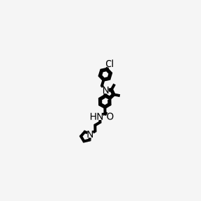 Cc1c(C)n(Cc2ccc(Cl)cc2)c2ccc(C(=O)NCCCN3CCCC3)cc12